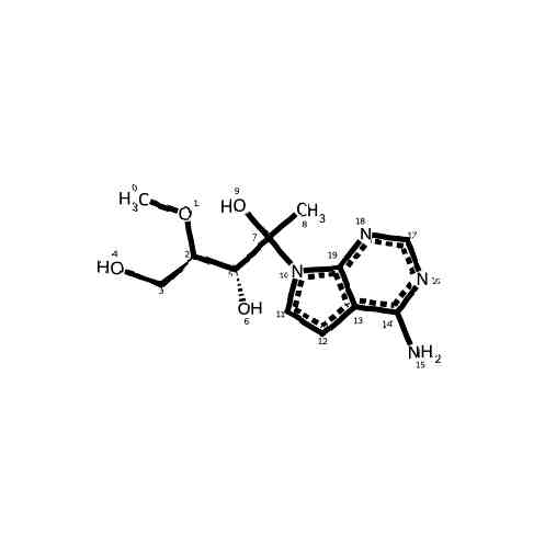 CO[C@H](CO)[C@@H](O)C(C)(O)n1ccc2c(N)ncnc21